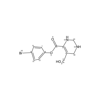 O=C(O)C1=C(C(=O)Oc2ccc(Br)cc2)NCNC1